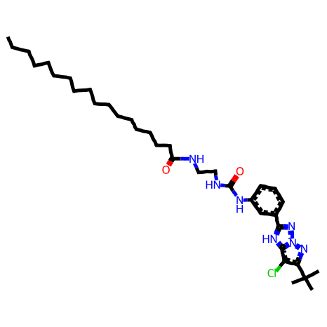 CCCCCCCCCCCCCCCCCC(=O)NCCNC(=O)Nc1cccc(-c2nn3nc(C(C)(C)C)c(Cl)c3[nH]2)c1